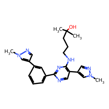 Cn1cc(-c2cccc(-c3ncc(-c4cnn(C)c4)c(NCCCC(C)(C)O)n3)c2)cn1